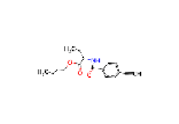 C#Cc1ccc(C(=O)NC(CC)C(=O)OCCCC)cc1